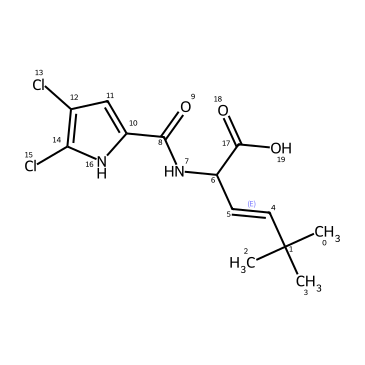 CC(C)(C)/C=C/C(NC(=O)c1cc(Cl)c(Cl)[nH]1)C(=O)O